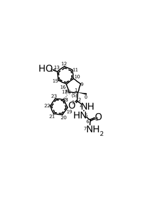 C[C@]1(C(=O)NNC(N)=O)Cc2ccc(O)cc2[C@H]1c1ccccc1